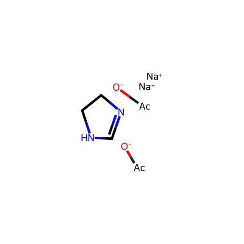 C1=NCCN1.CC(=O)[O-].CC(=O)[O-].[Na+].[Na+]